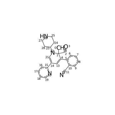 CC1(C=O)C(c2ccccc2C#N)=CC(c2ccccn2)=CN1C1CCNCC1